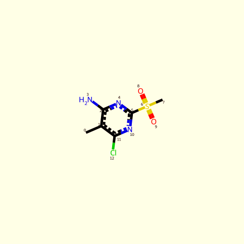 Cc1c(N)nc(S(C)(=O)=O)nc1Cl